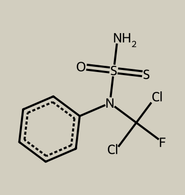 NS(=O)(=S)N(c1ccccc1)C(F)(Cl)Cl